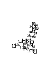 O=C(N[C@@H](c1ccc(Cl)cc1)c1ncc(Cl)cc1F)c1ccc(-n2cncn2)cc1